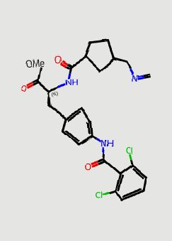 C=NCC1CCC(C(=O)N[C@@H](Cc2ccc(NC(=O)c3c(Cl)cccc3Cl)cc2)C(=O)OC)C1